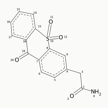 NC(=O)Cc1ccc2c(c1)S(=O)(=O)c1ccccc1C2=O